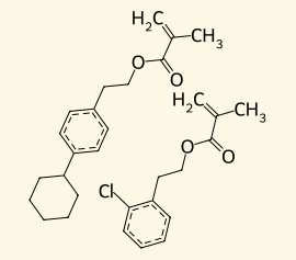 C=C(C)C(=O)OCCc1ccc(C2CCCCC2)cc1.C=C(C)C(=O)OCCc1ccccc1Cl